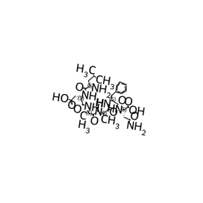 CC(C)C[C@H](N)C(=O)N[C@@H](CC(=O)O)C(=O)N[C@@H](C)C(=O)N[C@@H](C)C(=O)N[C@@H](Cc1ccccc1)C(=O)N[C@@H](CC(N)=O)C(=O)O